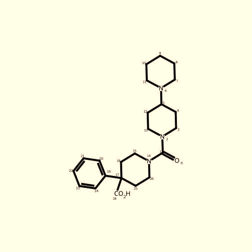 O=C(N1CCC(N2CCCCC2)CC1)N1CCC(C(=O)O)(c2ccccc2)CC1